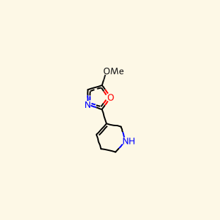 COc1cnc(C2=CCCNC2)o1